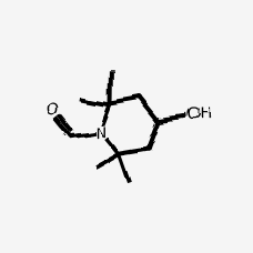 CC1(C)CC(O)CC(C)(C)N1[C]=O